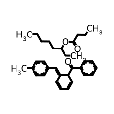 CCCCCC(CC)OC(=O)CCC.Cc1ccc(C=C2C=CC=CC2C(=O)c2ccccc2)cc1